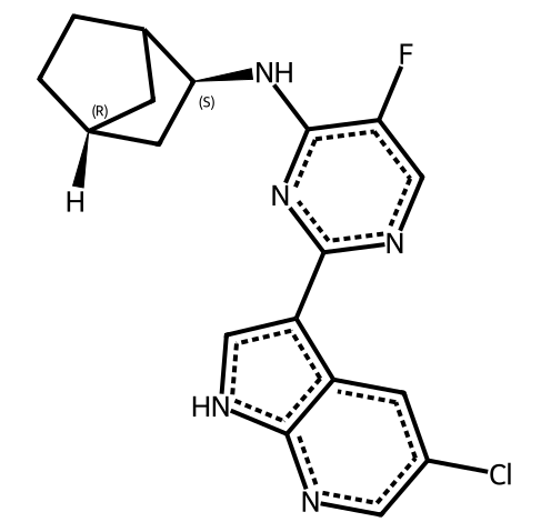 Fc1cnc(-c2c[nH]c3ncc(Cl)cc23)nc1N[C@H]1C[C@@H]2CCC1C2